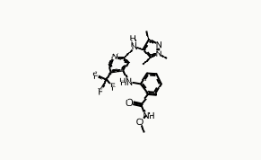 CONC(=O)c1ccccc1Nc1cc(Nc2c(C)nn(C)c2C)ncc1C(F)(F)F